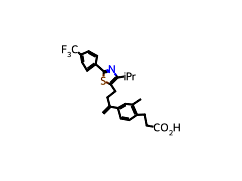 C=C(CCc1sc(-c2ccc(C(F)(F)F)cc2)nc1C(C)C)c1ccc(CCC(=O)O)c(C)c1